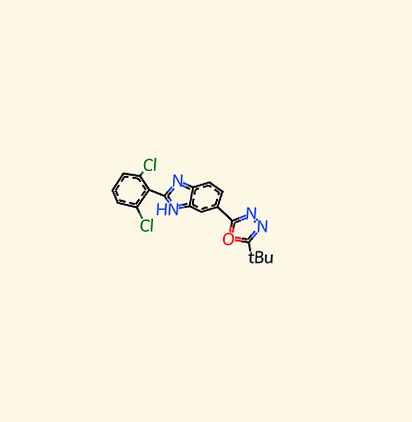 CC(C)(C)c1nnc(-c2ccc3nc(-c4c(Cl)cccc4Cl)[nH]c3c2)o1